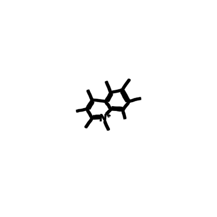 Cc1c(C)c(C)c2c(c1C)c(C)c(C)c(C)[n+]2C